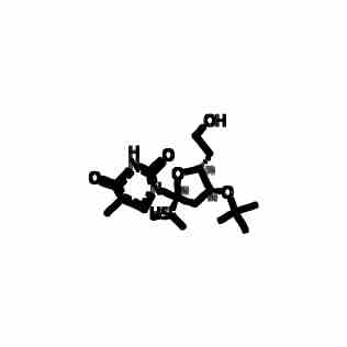 Cc1cn([C@@]2([SiH](C)C)C[C@H](OC(C)(C)C)[C@@H](CCO)O2)c(=O)[nH]c1=O